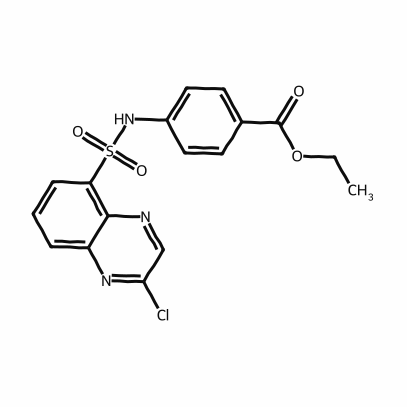 CCOC(=O)c1ccc(NS(=O)(=O)c2cccc3nc(Cl)cnc23)cc1